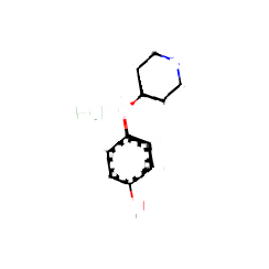 Cl.Oc1ccc(OC2CCNCC2)cc1